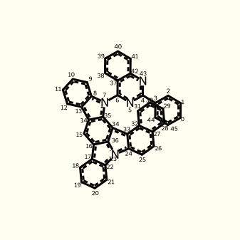 c1ccc(-c2nc(-n3c4ccccc4c4cc5c6ccccc6n6c7ccc8ccccc8c7c(c43)c56)c3ccccc3n2)cc1